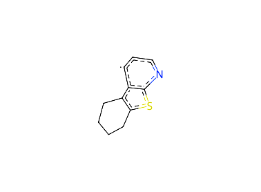 [c]1ccnc2sc3c(c12)CCCC3